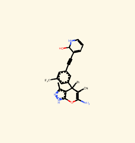 Cc1n[nH]c2c1C(c1cc(C#CC3=CC=CNC3O)cc(C(F)(F)F)c1)(C(C)C)C(C#N)=C(N)O2